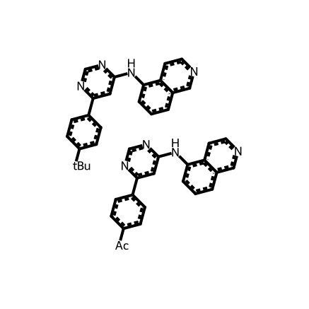 CC(=O)c1ccc(-c2cc(Nc3cccc4cnccc34)ncn2)cc1.CC(C)(C)c1ccc(-c2cc(Nc3cccc4cnccc34)ncn2)cc1